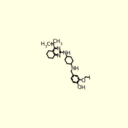 CN(C)c1nc(NC2CCC(NCc3ccc(O)c(OCI)c3)CC2)nc2c1CCCC2